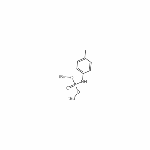 Cc1ccc(NP(=O)(OC(C)(C)C)OC(C)(C)C)cc1